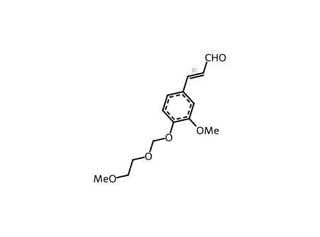 COCCOCOc1ccc(/C=C/C=O)cc1OC